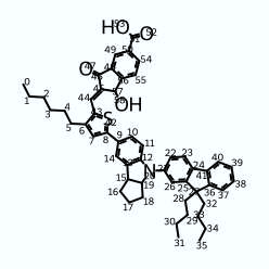 CCCCCCc1cc(-c2ccc3c(c2)C2CCCC2N3c2ccc3c(c2)C(CCCC)(CCCC)c2ccccc2-3)sc1/C=C1/C(=O)c2cc(C(=O)O)ccc2C1O